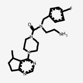 CC1CCc2ncnc(N3CCN(C(=O)N(CCN)Cc4ccc(F)cc4)CC3)c21